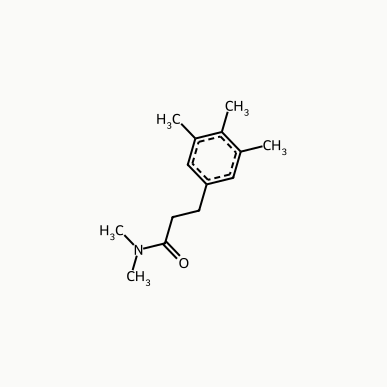 Cc1cc(CCC(=O)N(C)C)cc(C)c1C